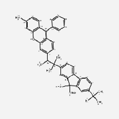 CCCCCCC1(CCCCCC)c2cc(C(C)(C)CC)ccc2-c2ccc(C(C)(C)C(C)c3ccc4c(c3)Oc3cc(C)ccc3N4c3ccccc3)cc21